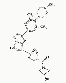 Cc1cc(-c2cnc3[nH]cc(-c4ccc(C(=O)N5CC(O)C5)cc4)c3c2)cc(C)c1N1CCN(C)CC1